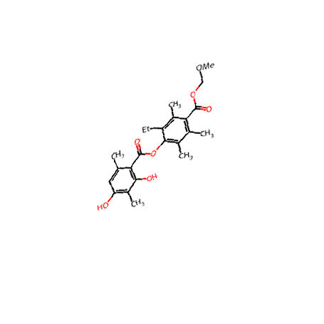 CCc1c(C)c(C(=O)OCOC)c(C)c(C)c1OC(=O)c1c(C)cc(O)c(C)c1O